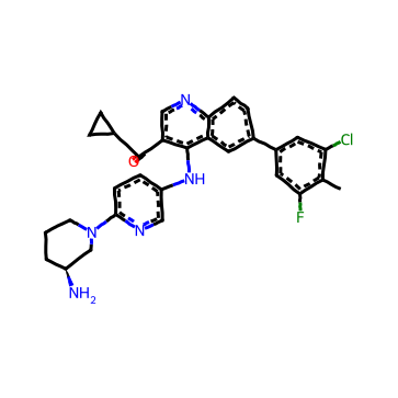 Cc1c(F)cc(-c2ccc3ncc(C(=O)C4CC4)c(Nc4ccc(N5CCC[C@H](N)C5)nc4)c3c2)cc1Cl